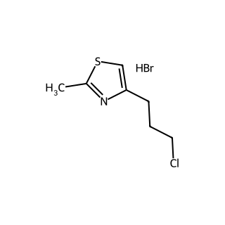 Br.Cc1nc(CCCCl)cs1